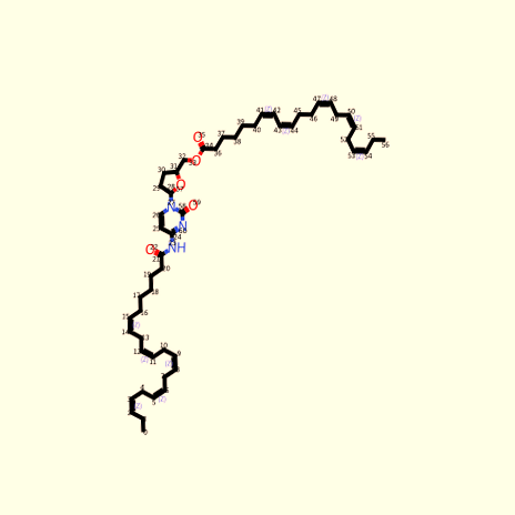 CC/C=C\C/C=C\C/C=C\C/C=C\C/C=C\CCCCCC(=O)Nc1ccn(C2CCC(COC(=O)CCCCC/C=C\C=C/CC/C=C\C/C=C\C/C=C\CC)O2)c(=O)n1